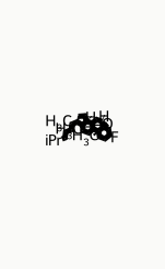 CC(C)CCC[C@@H](C)[C@H]1CC[C@H]2[C@@H]3C[C@H]4OC45C[C@@H](F)CC[C@]5(C)[C@H]3CC[C@]12C